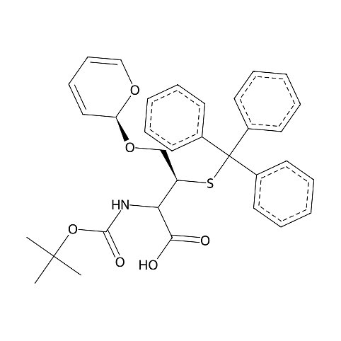 CC(C)(C)OC(=O)NC(C(=O)O)[C@@H](CO[C@H]1C=CC=CO1)SC(c1ccccc1)(c1ccccc1)c1ccccc1